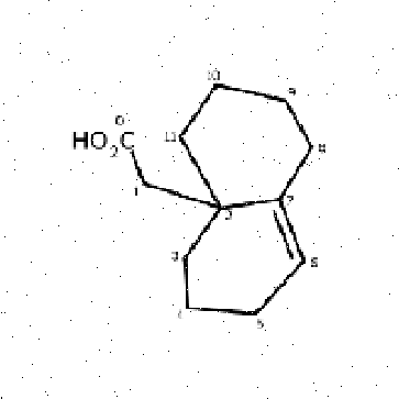 O=C(O)CC12CCCC=C1CCCC2